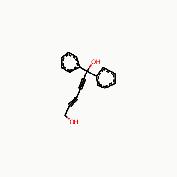 OCC#CC#CC(O)(c1ccccc1)c1ccccc1